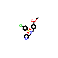 CCOC(=O)c1ccc(CN(Cc2cccnc2)S(=O)(=O)c2ccc(Cl)cc2)cc1